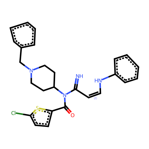 N=C(/C=C\Nc1ccccc1)N(C(=O)c1ccc(Cl)s1)C1CCN(Cc2ccccc2)CC1